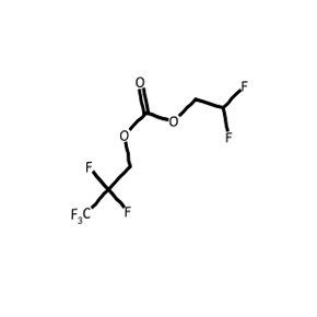 O=C(OCC(F)F)OCC(F)(F)C(F)(F)F